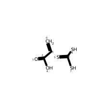 C=CC(=O)O.S=C(S)S